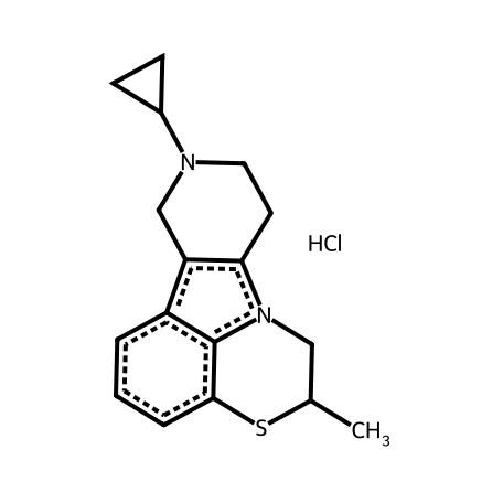 CC1Cn2c3c(c4cccc(c42)S1)CN(C1CC1)CC3.Cl